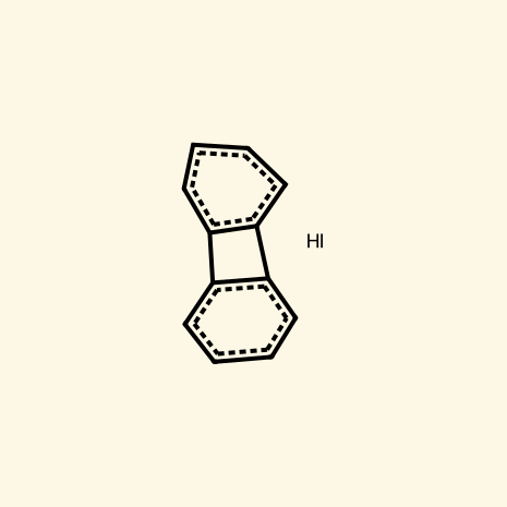 I.c1ccc2c(c1)-c1ccccc1-2